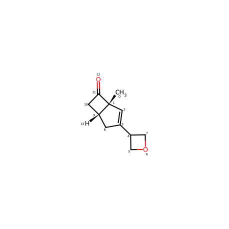 C[C@@]12C=C(C3COC3)C[C@@H]1CC2=O